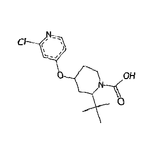 CC(C)(C)C1CC(Oc2ccnc(Cl)c2)CCN1C(=O)O